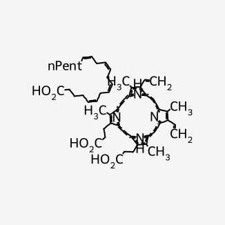 C=CC1=C(C)c2cc3[nH]c(cc4nc(cc5[nH]c(cc1n2)c(C)c5CCC(=O)O)C(CCC(=O)O)=C4C)c(C)c3C=C.CCCCC/C=C\C/C=C\C/C=C\C/C=C\CCCC(=O)O